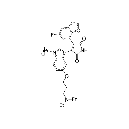 CCN(CC)CCCOc1ccc2c(c1)c(C1=C(c3cc(F)cc4ccoc34)C(=O)NC1=O)cn2C(C)C.Cl